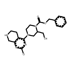 N#CCC1CN(c2nc(Cl)nc3c2CCNC3)CCN1C(=O)OCc1ccccc1